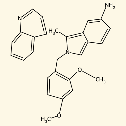 COc1ccc(Cn2cc3ccc(N)cc3c2C)c(OC)c1.c1ccc2ncccc2c1